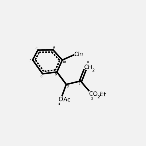 C=C(C(=O)OCC)C(OC(C)=O)c1ccccc1Cl